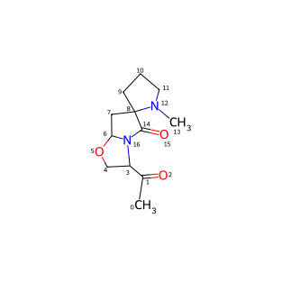 CC(=O)C1COC2CC3(CCCN3C)C(=O)N21